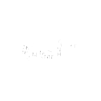 O=C(CCC(F)(F)F)NCc1cnn2cc(CNC(=O)c3ncnn3C3CC3)nc2c1